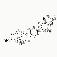 CCCC1CC[C@@H]2C[C@H](c3ccc(-c4cc(F)c(OC(F)F)c(F)c4)cc3)CC[C@@H]2C1